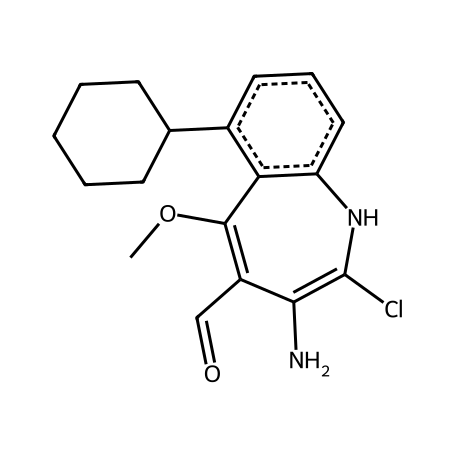 COC1=C(C=O)C(N)=C(Cl)Nc2cccc(C3CCCCC3)c21